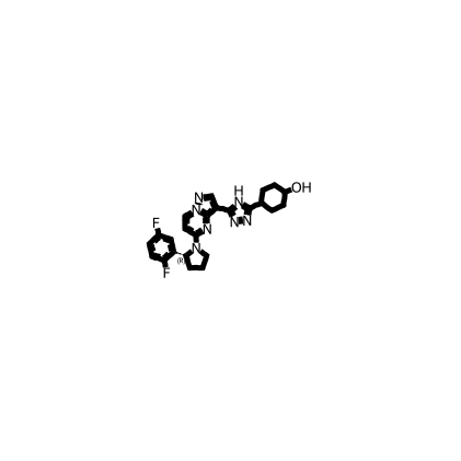 OC1CCC(c2nnc(-c3cnn4ccc(N5CCC[C@@H]5c5cc(F)ccc5F)nc34)[nH]2)CC1